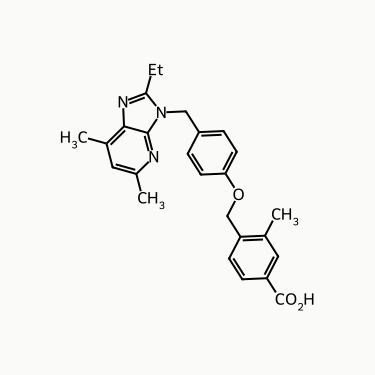 CCc1nc2c(C)cc(C)nc2n1Cc1ccc(OCc2ccc(C(=O)O)cc2C)cc1